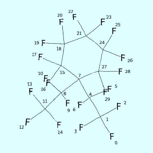 FC(F)(F)C(F)(F)C1(C(F)(F)C(F)(F)F)C(F)(F)C(F)(F)C(F)(F)C(F)(F)C1(F)F